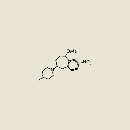 COC1CCC(N2CCN(C)CC2)Cc2ccc([N+](=O)[O-])cc21